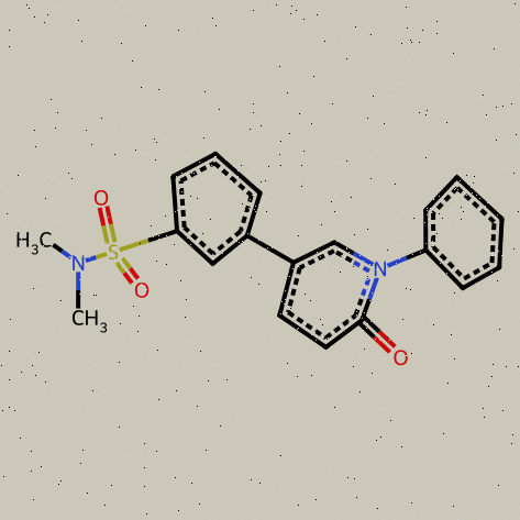 CN(C)S(=O)(=O)c1cccc(-c2ccc(=O)n(-c3ccccc3)c2)c1